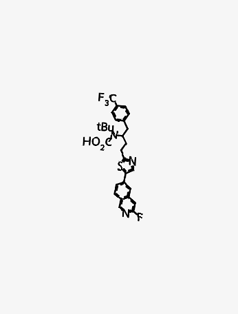 CC(C)(C)N(C(=O)O)C(CCc1ncc(-c2ccc3cnc(F)cc3c2)s1)Cc1ccc(C(F)(F)F)cc1